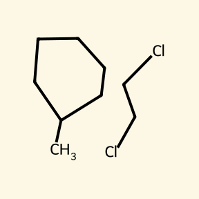 CC1CCCCC1.ClCCCl